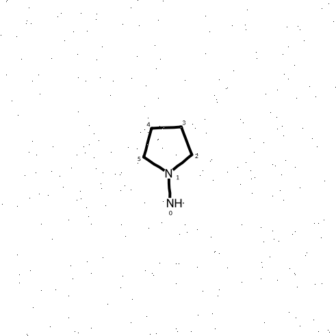 [NH]N1CCCC1